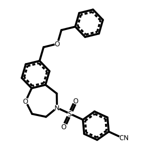 N#Cc1ccc(S(=O)(=O)N2CCOc3ccc(COCc4ccccc4)cc3C2)cc1